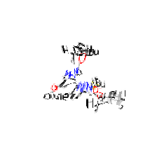 COCCOc1cc(-c2cccc([C@H](CCCO[Si](C)(C)C(C)(C)C)N[S@+]([O-])C(C)(C)C)n2)cc2c1cnn2-c1cccc(CO[Si](C)(C)C(C)(C)C)n1